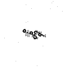 CN(C)CCc1cccc(Nc2nccc(-c3c(-c4cccc(NC(=O)Nc5ccccc5)c4)nc4ccc(F)cn34)n2)c1